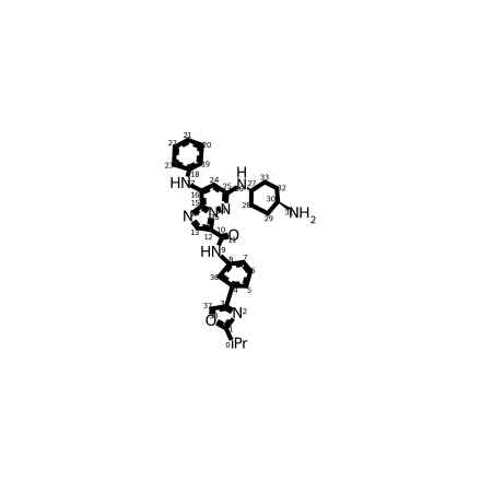 CC(C)c1nc(-c2cccc(NC(=O)c3cnc4c(Nc5ccccc5)cc(N[C@H]5CC[C@H](N)CC5)nn34)c2)co1